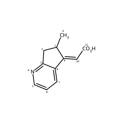 CC1Cc2ncccc2/C1=C/C(=O)O